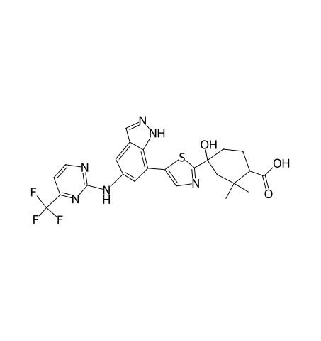 CC1(C)CC(O)(c2ncc(-c3cc(Nc4nccc(C(F)(F)F)n4)cc4cn[nH]c34)s2)CCC1C(=O)O